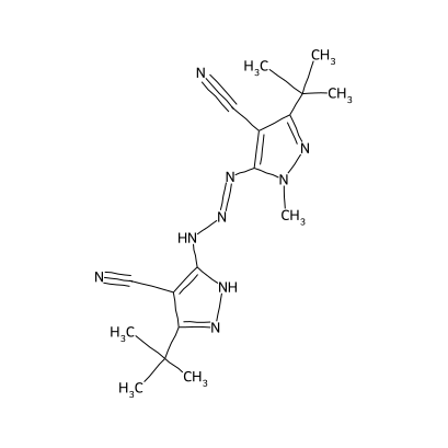 Cn1nc(C(C)(C)C)c(C#N)c1N=NNc1[nH]nc(C(C)(C)C)c1C#N